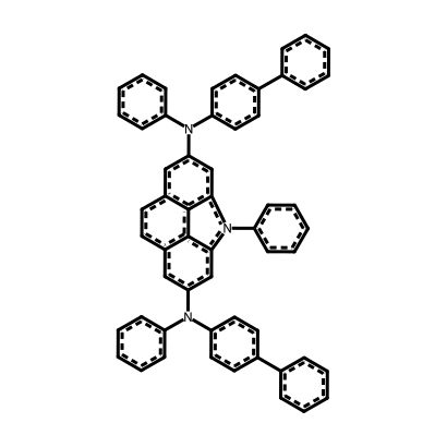 c1ccc(-c2ccc(N(c3ccccc3)c3cc4ccc5cc(N(c6ccccc6)c6ccc(-c7ccccc7)cc6)cc6c5c4c(c3)n6-c3ccccc3)cc2)cc1